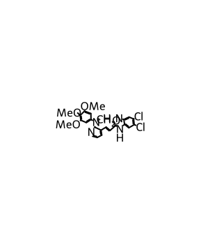 COc1cc(N(C)c2ncccc2/C=C/C(=O)Nc2cc(Cl)c(Cl)cc2N)cc(OC)c1OC